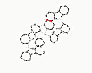 c1ccc([Si](c2ccccc2)(c2cccc3c2sc2c(-n4c5ccccc5c5ccccc54)cccc23)c2cccc3c2sc2c(-n4c5ccccc5c5ccncc54)cccc23)cc1